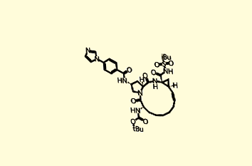 CCC(C)S(=O)(=O)NC(=O)[C@@]12C[C@H]1/C=C\CCCCC[C@H](NC(=O)OC(C)(C)C)C(=O)N1C[C@H](NC(=O)c3ccc(-n4ccnc4)cc3)C[C@H]1C(=O)N2